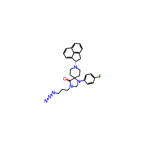 [N-]=[N+]=NCCCN1CN(c2ccc(F)cc2)C2(CCN([C@H]3Cc4cccc5cccc3c45)CC2)C1=O